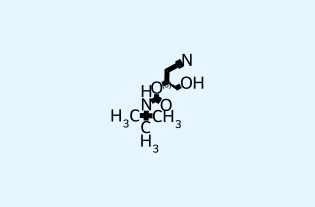 CC(C)(C)NC(=O)O[C@H](CO)CC#N